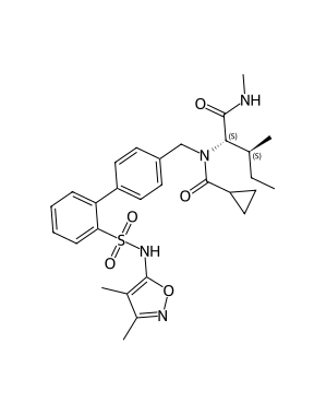 CC[C@H](C)[C@@H](C(=O)NC)N(Cc1ccc(-c2ccccc2S(=O)(=O)Nc2onc(C)c2C)cc1)C(=O)C1CC1